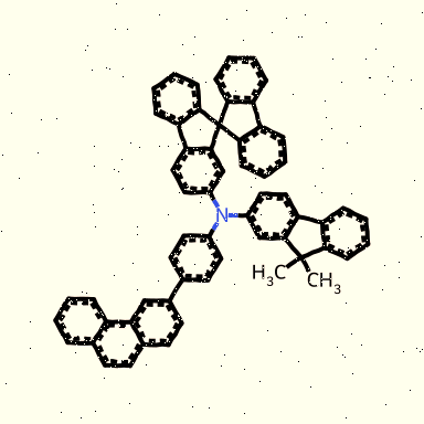 CC1(C)c2ccccc2-c2ccc(N(c3ccc(-c4ccc5ccc6ccccc6c5c4)cc3)c3ccc4c(c3)C3(c5ccccc5-c5ccccc53)c3ccccc3-4)cc21